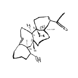 CC(=O)C1=CC[C@H]2[C@@H]3CC=C4CCCC(O)[C@]4(C)[C@H]3CC[C@]12C